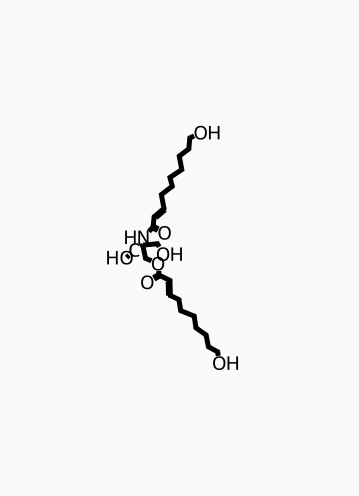 O=C(/C=C/CCCCCCCO)NC(CO)(CO)COC(=O)/C=C/CCCCCCCO